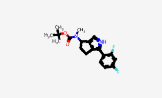 CN(C(=O)OC(C)(C)C)C1CCc2c1c[nH]c2-c1ccc(F)cc1F